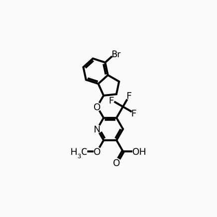 COc1nc(OC2CCc3c(Br)cccc32)c(C(F)(F)F)cc1C(=O)O